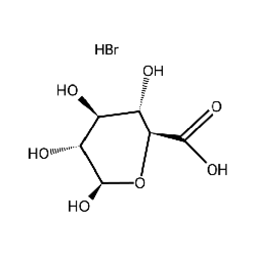 Br.O=C(O)[C@H]1O[C@@H](O)[C@H](O)[C@@H](O)[C@@H]1O